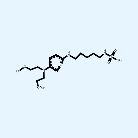 CCOCCN(CCOC)c1ccc(NCCCCCNS(=O)(=O)C(C)(C)C)cc1